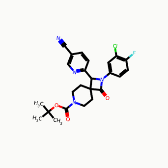 CC(C)(C)OC(=O)N1CCC2(CC1)C(=O)N(c1ccc(F)c(Cl)c1)C2c1ccc(C#N)cn1